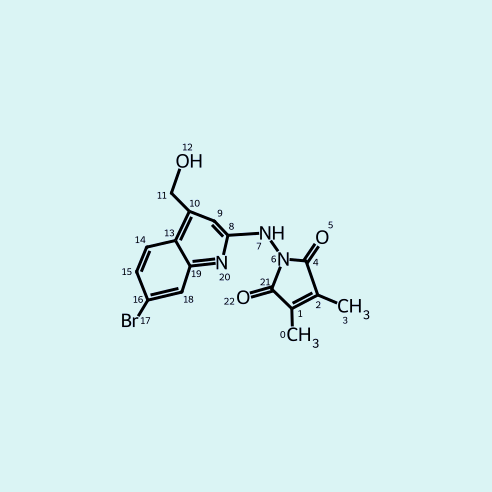 CC1=C(C)C(=O)N(Nc2cc(CO)c3ccc(Br)cc3n2)C1=O